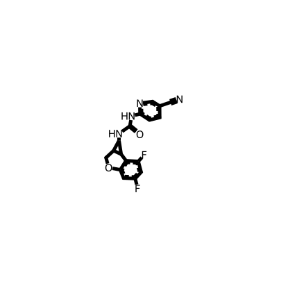 N#Cc1ccc(NC(=O)NC2C3COc4cc(F)cc(F)c4C32)nc1